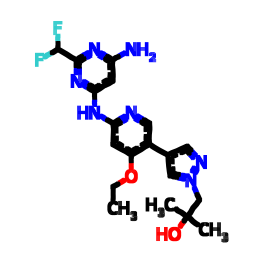 CCOc1cc(Nc2cc(N)nc(C(F)F)n2)ncc1-c1cnn(CC(C)(C)O)c1